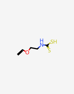 C=COCCNC(=S)S